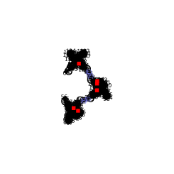 C=COc1ccc2cc(C3(c4ccc5cc(O/C=C/C=C/Oc6ccc7cc(C8(c9ccc%10cc(O/C=C/C=C/Oc%11ccc%12cc(C%13(c%14ccc%15cc(OC=C)ccc%15c%14)c%14ccc%15ccccc%15c%14-c%14ccc%15ccccc%15c%14%13)ccc%12c%11)ccc%10c9)c9cc%10ccccc%10cc9-c9ccc%10ccccc%10c98)ccc7c6)ccc5c4)c4cc5ccccc5cc4-c4c3ccc3ccccc43)ccc2c1